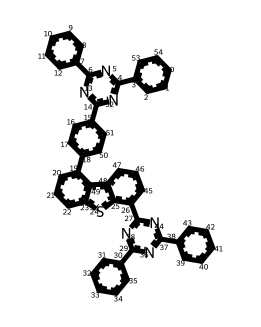 c1ccc(-c2nc(-c3ccccc3)nc(-c3ccc(-c4cccc5sc6c(-c7nc(-c8ccccc8)nc(-c8ccccc8)n7)cccc6c45)cc3)n2)cc1